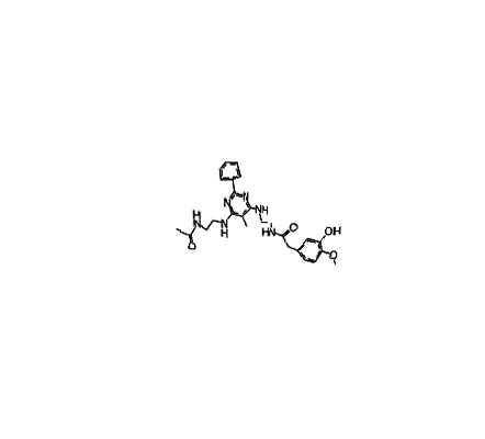 COc1ccc(CC(=O)NCCNc2nc(-c3ccccc3)nc(NCCNC(C)=O)c2C)cc1O